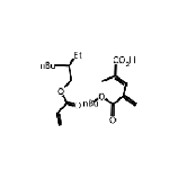 C=C(C=C(C)C(=O)O)C(=O)OCCCC.C=CC(=O)OCC(CC)CCCC